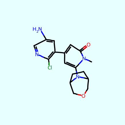 Cn1c(N2C3CCC2COC3)cc(-c2cc(N)cnc2Cl)cc1=O